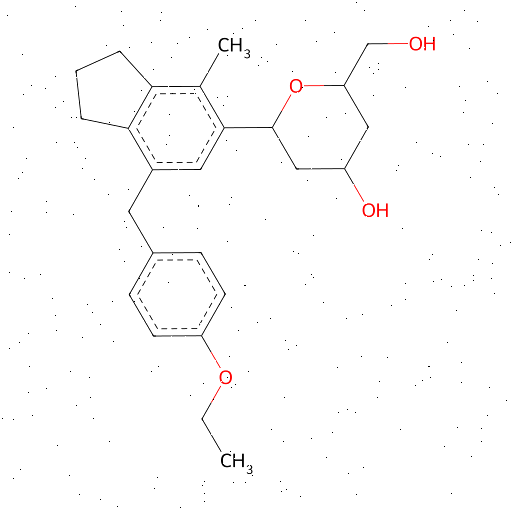 CCOc1ccc(Cc2cc(C3CC(O)CC(CO)O3)c(C)c3c2CCC3)cc1